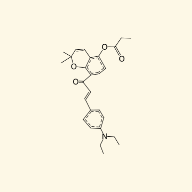 CCC(=O)Oc1ccc(C(=O)/C=C/c2ccc(N(CC)CC)cc2)c2c1C=CC(C)(C)O2